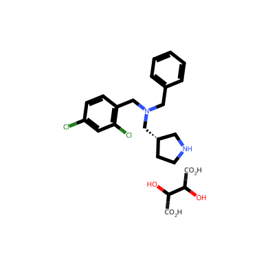 Clc1ccc(CN(Cc2ccccc2)C[C@H]2CCNC2)c(Cl)c1.O=C(O)C(O)C(O)C(=O)O